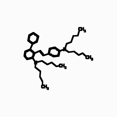 CCCCCN(CCCCC)c1ccc(C=Cc2c(-c3ccccc3)cccc2N(CCCCC)CCCCC)cc1